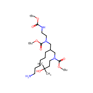 CC(C)(O)CCN(CC(CCCCCCN)CN(CCNC(=O)OC(C)(C)C)C(=O)OC(C)(C)C)C(=O)OC(C)(C)C